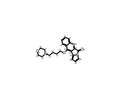 O=C1c2nc3ccccc3c(OCCCCN3CCOCC3)c2-c2cccn21